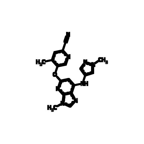 Cc1cc(C#N)ncc1Oc1cc(Nc2cnn(C)c2)c2ncn(C)c2n1